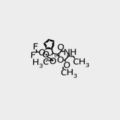 CCOC1O[C@@H](C(c2ccccc2OC(F)F)S(C)(=O)=O)C(=O)N[C@H]1CC